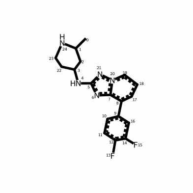 CC1CC(Nc2nc3c(-c4ccc(F)c(F)c4)cccn3n2)CCN1